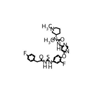 CN1CCC[C@@H](N(C)C(=O)Nc2cc(Oc3ccc(NC(=S)NC(=O)Cc4ccc(F)cc4)cc3F)ncn2)C1